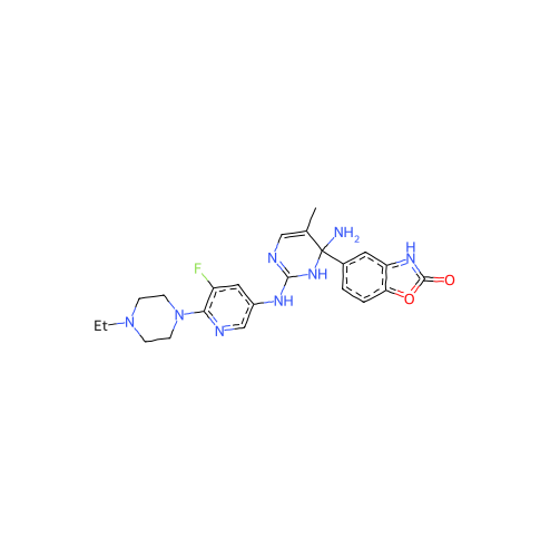 CCN1CCN(c2ncc(NC3=NC=C(C)C(N)(c4ccc5oc(=O)[nH]c5c4)N3)cc2F)CC1